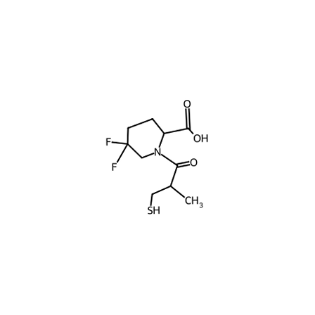 CC(CS)C(=O)N1CC(F)(F)CCC1C(=O)O